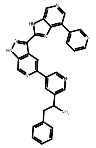 NC(Cc1ccccc1)c1cncc(-c2cc3c(-c4nc5c(-c6cccnc6)cncc5[nH]4)n[nH]c3cn2)c1